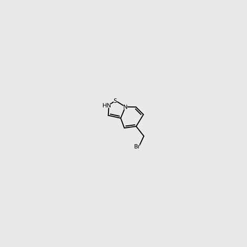 BrCC1=CC2=CNSN2C=C1